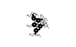 Cc1cc2c3c(c1)-n1c4ccc(C(C)(C)C)cc4c4cc(C(C)(C)C)c(C)c(c41)B3c1cc(C(C)C)cc3c1B2c1ccc(C(C)C)cc1C3